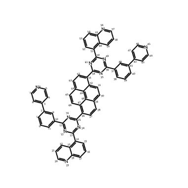 c1cc(-c2ccncc2)cc(-c2nc(-c3cccc4ncccc34)nc(-c3ccc4ccc5c(-c6nc(-c7cccc(-c8ccncc8)c7)nc(-c7cccc8ncccc78)n6)ccc6ccc3c4c65)n2)c1